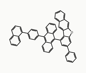 c1ccc(-c2cc(-c3c4ccccc4c(-c4ccc(-c5cccc6ccccc56)cc4)c4ccccc34)c3c(c2)oc2cc4ccccc4cc23)cc1